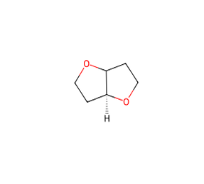 C1C[C@@H]2OCCC2O1